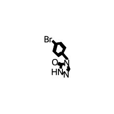 O=c1[nH]ncn1Cc1ccc(Br)cc1